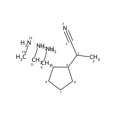 CC(C#N)C1CCCC1.CN.CN.CN